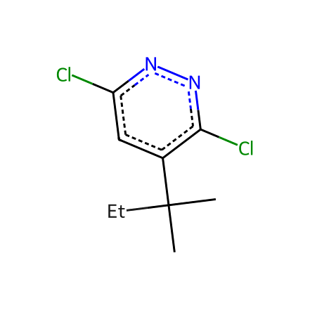 CCC(C)(C)c1cc(Cl)nnc1Cl